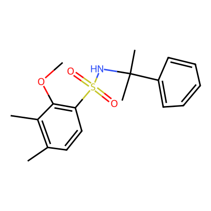 COc1c(S(=O)(=O)NC(C)(C)c2ccccc2)ccc(C)c1C